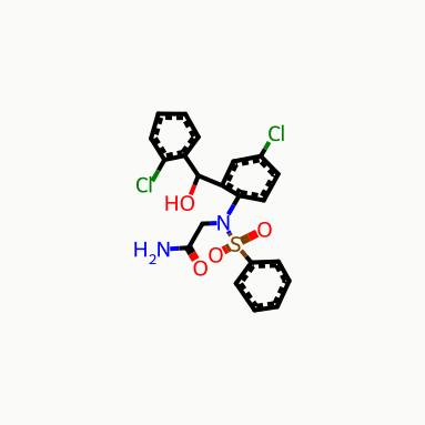 NC(=O)CN(c1ccc(Cl)cc1C(O)c1ccccc1Cl)S(=O)(=O)c1ccccc1